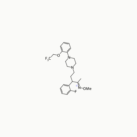 CO/N=C(\C)C(CCN1CCN(c2ccccc2OCC(F)(F)F)CC1)c1ccccc1F